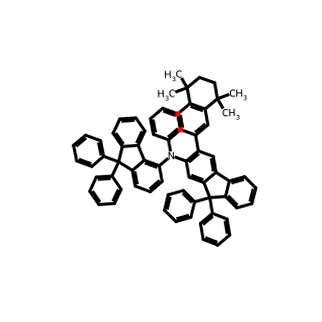 CC1(C)CCC(C)(C)c2cc(-c3cc4c(cc3N(c3ccccc3)c3cccc5c3-c3ccccc3C5(c3ccccc3)c3ccccc3)C(c3ccccc3)(c3ccccc3)c3ccccc3-4)ccc21